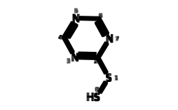 SSc1ncncn1